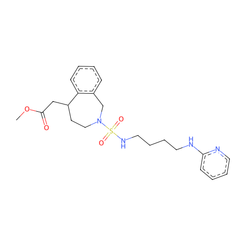 COC(=O)CC1CCN(S(=O)(=O)NCCCCNc2ccccn2)Cc2ccccc21